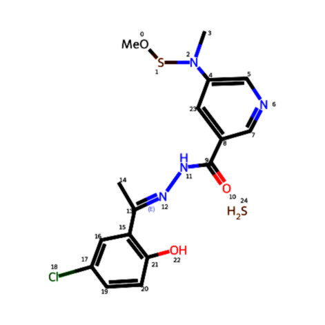 COSN(C)c1cncc(C(=O)N/N=C(\C)c2cc(Cl)ccc2O)c1.S